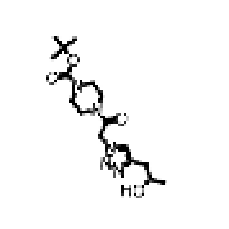 CC(O)Cc1cn(CC(=O)N2CCN(C(=O)OC(C)(C)C)CC2)nn1